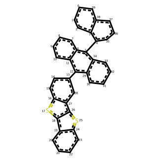 c1ccc2c(-c3c4ccccc4c(-c4ccc5sc6c7ccccc7sc6c5c4)c4ccccc34)cccc2c1